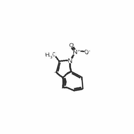 Cc1[c]c2ccccc2n1[N+](=O)[O-]